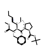 CC/C=C/[C@H](CC)N(C(=O)[C@H]1[C@H](C)CCN1C(=O)OC(C)(C)C)[C@H](Cc1ccccc1)C(=O)OC